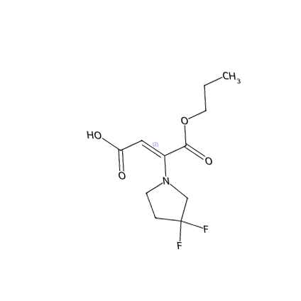 CCCOC(=O)/C(=C/C(=O)O)N1CCC(F)(F)C1